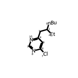 CCCCC(CC)Cc1cc(Cl)ncn1